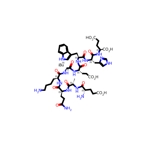 CC[C@H](C)[C@H](NC(=O)[C@H](CCCCN)NC(=O)[C@H](CCC(N)=O)NC(=O)[C@H](C)NC(=O)[C@@H](N)CCC(=O)O)C(=O)N[C@@H](CCC(=O)O)C(=O)N[C@@H](Cc1c[nH]c2ccccc12)C(=O)N[C@@H](Cc1c[nH]cn1)C(=O)N[C@@H](CCC(=O)O)C(=O)O